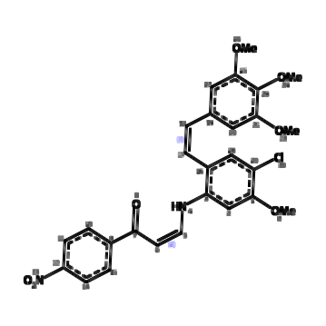 COc1cc(N/C=C\C(=O)c2ccc([N+](=O)[O-])cc2)c(/C=C\c2cc(OC)c(OC)c(OC)c2)cc1Cl